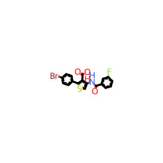 O=C(Nc1csc(-c2ccc(Br)cc2)c1C(=O)O)c1cccc(F)c1